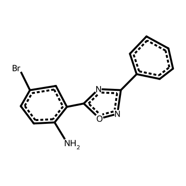 Nc1ccc(Br)cc1-c1nc(-c2ccccc2)no1